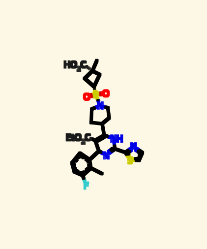 CCOC(=O)C1=C(C2CCN(S(=O)(=O)[C@H]3C[C@@](C)(C(=O)O)C3)CC2)NC(c2nccs2)=NC1c1cccc(F)c1C